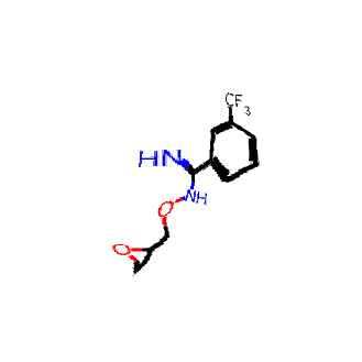 N=C(NOCC1CO1)c1cccc(C(F)(F)F)c1